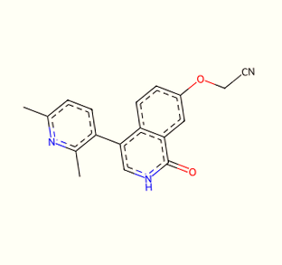 Cc1ccc(-c2c[nH]c(=O)c3cc(OCC#N)ccc23)c(C)n1